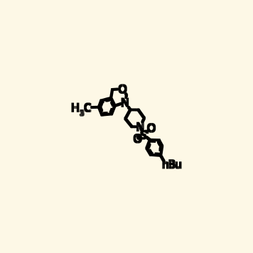 CCCCc1ccc(S(=O)(=O)N2CCC(N3COCc4cc(C)ccc43)CC2)cc1